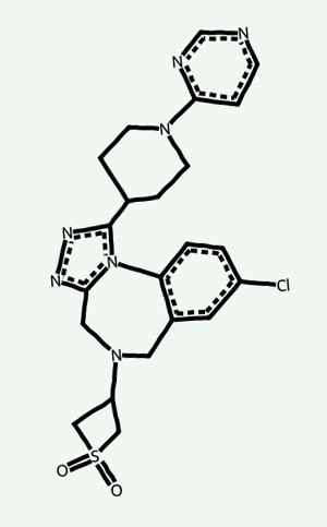 O=S1(=O)CC(N2Cc3cc(Cl)ccc3-n3c(nnc3C3CCN(c4ccncn4)CC3)C2)C1